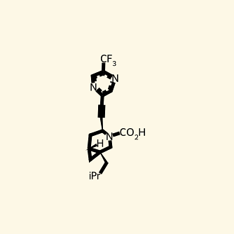 CC(C)C[C@@]12C[C@@H]1C[C@@H](C#Cc1cnc(C(F)(F)F)cn1)N(C(=O)O)C2